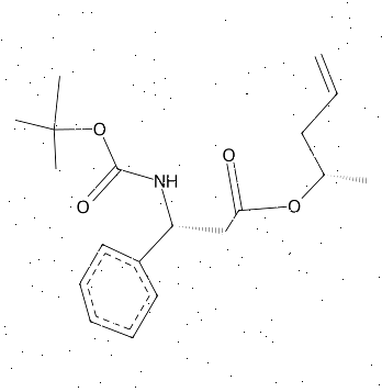 C=CC[C@H](C)OC(=O)C[C@@H](NC(=O)OC(C)(C)C)c1ccccc1